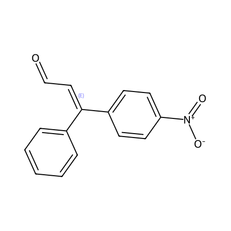 O=C/C=C(\c1ccccc1)c1ccc([N+](=O)[O-])cc1